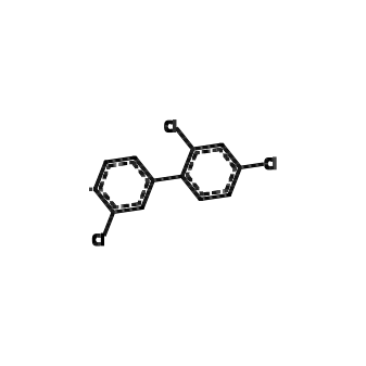 Clc1[c]ccc(-c2ccc(Cl)cc2Cl)c1